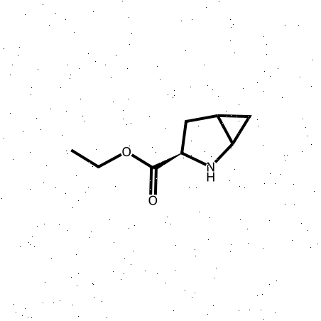 CCOC(=O)[C@H]1CC2CC2N1